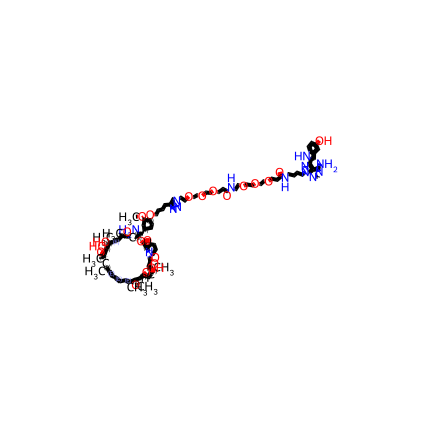 CO[C@H]1C[C@@H]2CC[C@@H](C)[C@@](O)(O2)C(=O)C(=O)N2CCCC[C@H]2C(=O)O[C@H]([C@H](N)C[C@@H]2CC[C@@H](OCCCCc3cn(CCOCCOCCOCCC(=O)NCCOCCOCCOCCC(=O)NCCCCn4nc(-c5cc6cc(O)ccc6[nH]5)c5c(N)ncnc54)nn3)[C@H](OC)C2)CC(=O)[C@H](C)/C=C(\C)[C@@H](O)[C@@H](O)C(=O)[C@H](C)C[C@H](C)/C=C/C=C/C=C/1C